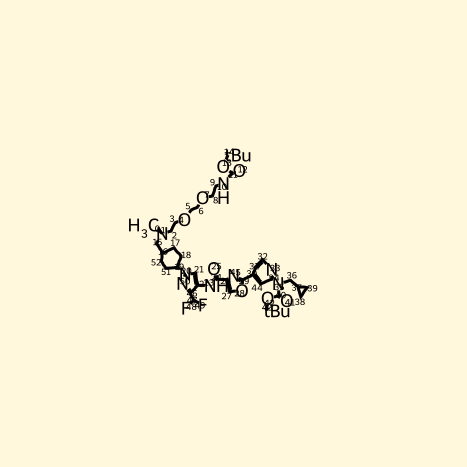 CN(CCOCCOCCNC(=O)OC(C)(C)C)CC1CCC(n2cc(NC(=O)c3coc(-c4ccnc(N(CC5CC5)C(=O)OC(C)(C)C)c4)n3)c(C(F)F)n2)CC1